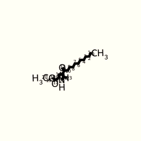 CCCCCCCCCCCC(=O)c1cc(C(=O)OCC)[nH]c1I